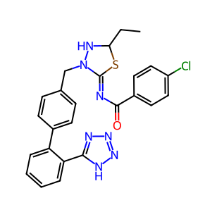 CCC1NN(Cc2ccc(-c3ccccc3-c3nnn[nH]3)cc2)C(=NC(=O)c2ccc(Cl)cc2)S1